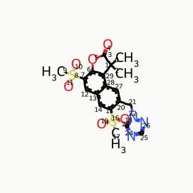 CC1(C)C(=O)Oc2c(S(C)(=O)=O)cc3cc(S(C)(=O)=O)c(Cn4cncn4)cc3c21